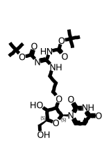 CC(C)(C)OC(=O)N=C(NCCCOC1C(O)[C@H](CO)O[C@@H]1n1ccc(=O)[nH]c1=O)NC(=O)OC(C)(C)C